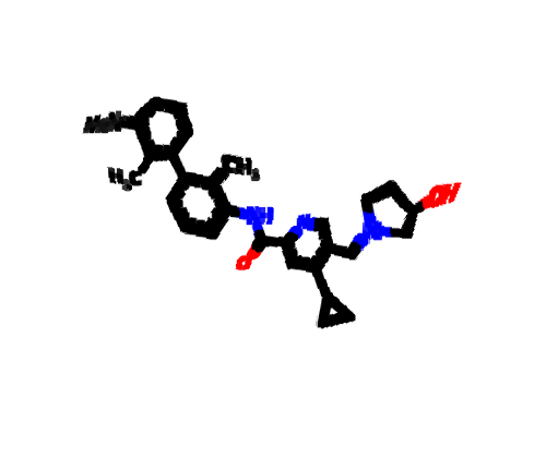 CNc1cccc(-c2cccc(NC(=O)c3cc(C4CC4)c(CN4CCC(O)C4)cn3)c2C)c1C